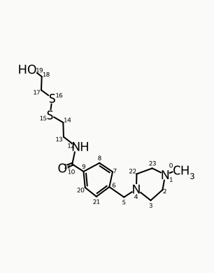 CN1CCN(Cc2ccc(C(=O)NCCSSCCO)cc2)CC1